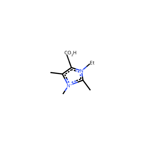 CCn1c(C(=O)O)c(C)[n+](C)c1C